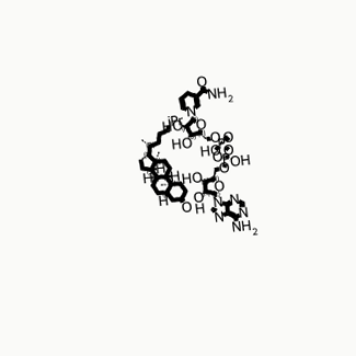 CC(C)CCC[C@@H](C)[C@H]1CC[C@H]2[C@@H]3CC[C@@H]4CC(=O)CC[C@]4(C)[C@H]3CC[C@]12C.NC(=O)C1=CN([C@@H]2O[C@H](COP(=O)(O)OP(=O)(O)OC[C@H]3O[C@@H](n4cnc5c(N)ncnc54)[C@H](O)[C@@H]3O)[C@@H](O)[C@H]2O)C=CC1